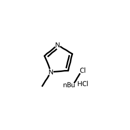 CCCCCl.Cl.Cn1ccnc1